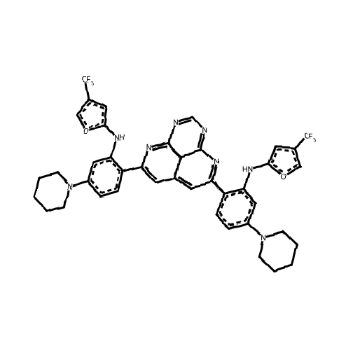 FC(F)(F)c1coc(Nc2cc(N3CCCCC3)ccc2C2=CC3=CC(c4ccc(N5CCCCC5)cc4Nc4cc(C(F)(F)F)co4)=NC4=NC=NC(=N2)C34)c1